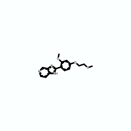 COc1cc(OCCSC)ccc1-c1nc2cnccc2[nH]1